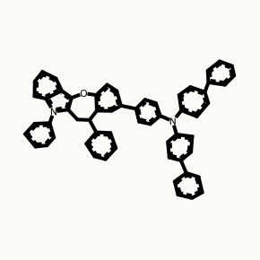 c1ccc(-c2ccc(N(c3ccc(-c4ccccc4)cc3)c3ccc(-c4ccc5c(c4)C(c4ccccc4)Cc4c(c6ccccc6n4-c4ccccc4)O5)cc3)cc2)cc1